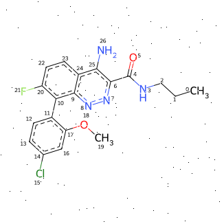 CCCNC(=O)c1nnc2c(-c3ccc(Cl)cc3OC)c(F)ccc2c1N